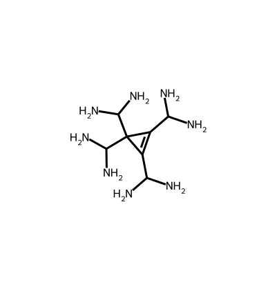 NC(N)C1=C(C(N)N)C1(C(N)N)C(N)N